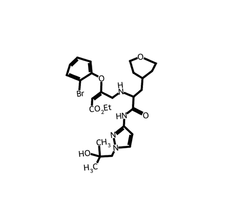 CCOC(=O)/C=C(\CNC(CC1CCOCC1)C(=O)Nc1ccn(CC(C)(C)O)n1)Oc1ccccc1Br